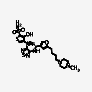 CN1CCN(CCCCc2cc([C@H](Nc3nsnc3Nc3csc(S(N)(=O)=O)c3O)C(C)(C)C)co2)CC1